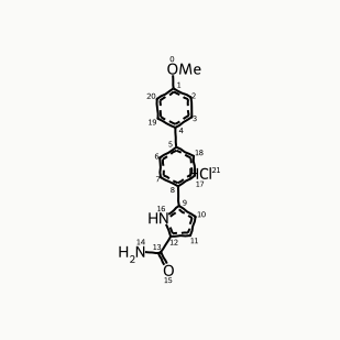 COc1ccc(-c2ccc(-c3ccc(C(N)=O)[nH]3)cc2)cc1.Cl